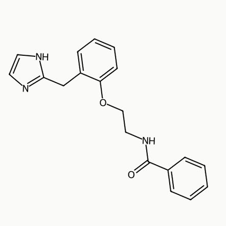 O=C(NCCOc1ccccc1Cc1ncc[nH]1)c1ccccc1